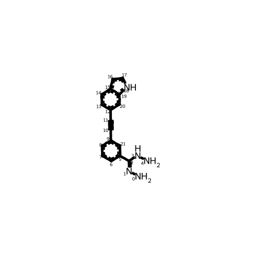 N/N=C(\NN)c1cccc(C#Cc2ccc3cc[nH]c3c2)c1